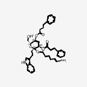 NCCCCCCO[C@]1(CCc2c[nH]c3ccccc23)O[C@H](CO)[C@@H](OC(=O)CCCc2ccccc2)C[C@H]1OC(=O)CCc1ccccc1